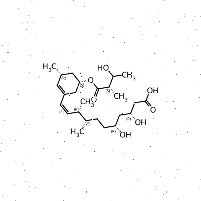 CC(O)[C@H](C)C(=O)O[C@@H]1CC(/C=C\[C@H](C)[C@@H](C)CC[C@@H](O)C[C@@H](O)CC(=O)O)=C[C@H](C)C1